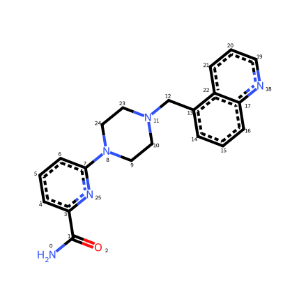 NC(=O)c1[c]ccc(N2CCN(Cc3cccc4ncccc34)CC2)n1